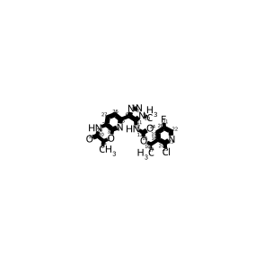 CC1Oc2nc(-c3nnn(C)c3NC(=O)O[C@H](C)c3cc(F)cnc3Cl)ccc2NC1=O